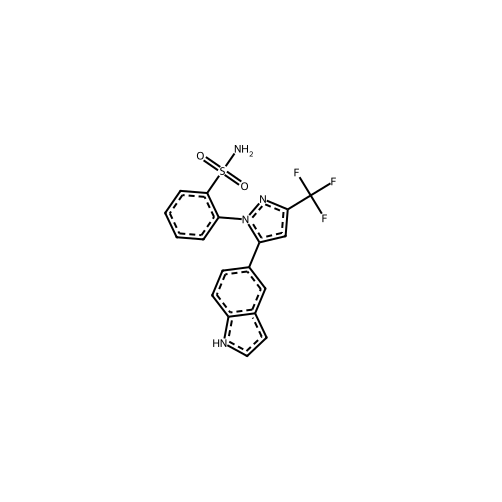 NS(=O)(=O)c1ccccc1-n1nc(C(F)(F)F)cc1-c1ccc2[nH]ccc2c1